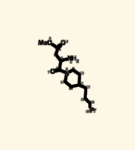 COC(=O)CC(N)C(=O)N1CCC(CCCC(C)C)CC1